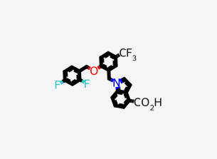 O=C(O)c1cccc2c1ccn2Cc1cc(C(F)(F)F)ccc1OCc1ccc(F)cc1F